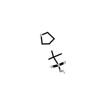 C1CCOC1.CC(C)(C)S(N)(=O)=O